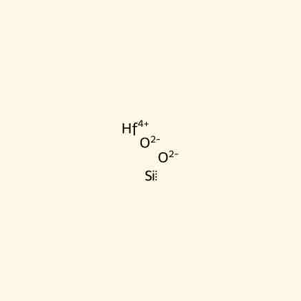 [Hf+4].[O-2].[O-2].[Si]